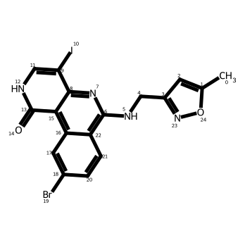 Cc1cc(CNc2nc3c(I)c[nH]c(=O)c3c3cc(Br)ccc23)no1